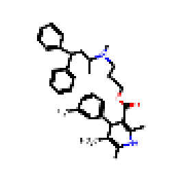 CC1=C(C(=O)O)C(c2cccc([N+](=O)[O-])c2)C(C(=O)OCCCN(C)C(C)CC(c2ccccc2)c2ccccc2)=C(C)N1